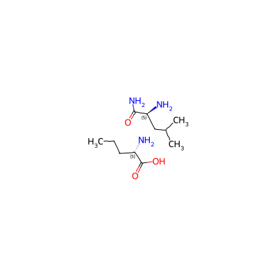 CC(C)C[C@H](N)C(N)=O.CCC[C@H](N)C(=O)O